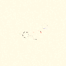 C=CC(c1c(Cl)cc(Cl)cc1Cl)S(=O)(=O)OC(=O)[C@@H]1CCCN1